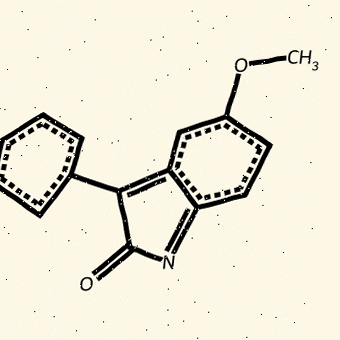 COc1ccc2c(c1)=C(c1ccccc1)C(=O)N=2